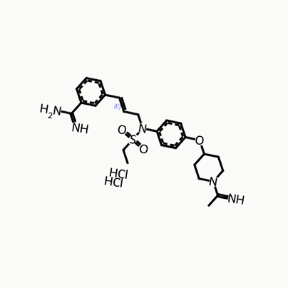 CCS(=O)(=O)N(C/C=C/c1cccc(C(=N)N)c1)c1ccc(OC2CCN(C(C)=N)CC2)cc1.Cl.Cl